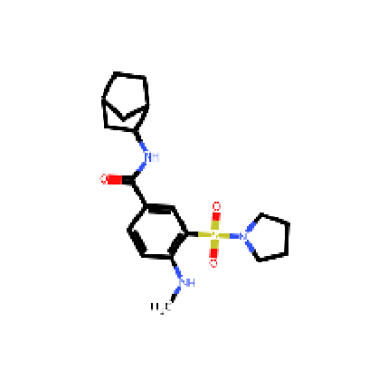 CNc1ccc(C(=O)NC2CC3CCC2C3)cc1S(=O)(=O)N1CCCC1